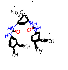 C#Cc1ccc(NC(=O)Nc2cc(NC(=O)Nc3ccc(C#C)c(C#C)c3)cc(C(=O)O)c2)cc1C#C